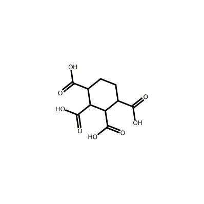 O=C(O)C1CCC(C(=O)O)C(C(=O)O)C1C(=O)O